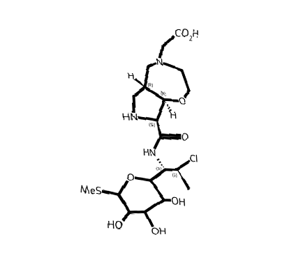 CSC1OC([C@H](NC(=O)[C@H]2NC[C@@H]3CN(CC(=O)O)CCO[C@H]32)[C@H](C)Cl)C(O)C(O)C1O